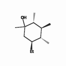 CC[C@H]1CC(C)(O)[C@H](C)[C@@H](C)[C@@H]1C